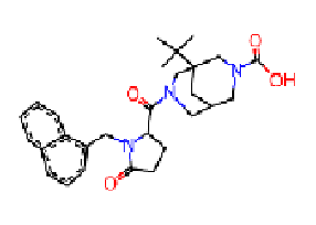 CC(C)(C)C12CC(CN(C(=O)O)C1)CN(C(=O)C1CCC(=O)N1Cc1cccc3ccccc13)C2